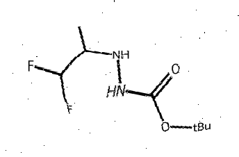 CC(NNC(=O)OC(C)(C)C)C(F)F